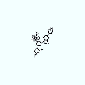 O=S(=O)(Nc1cc(-c2ccc(F)cc2F)cc(-n2cnc3cc(-c4ccncc4)ccc32)c1)C1CC1